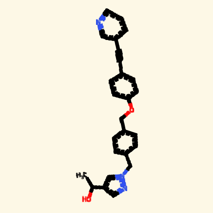 CC(O)c1cnn(Cc2ccc(COc3ccc(C#Cc4cccnc4)cc3)cc2)c1